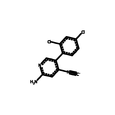 [C-]#[N+]c1cc(N)ncc1-c1ccc(Cl)cc1Cl